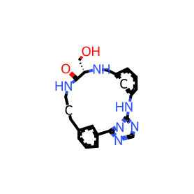 O=C1NCCCc2cccc(c2)-c2ncnc(n2)Nc2cccc(c2)CN[C@H]1CO